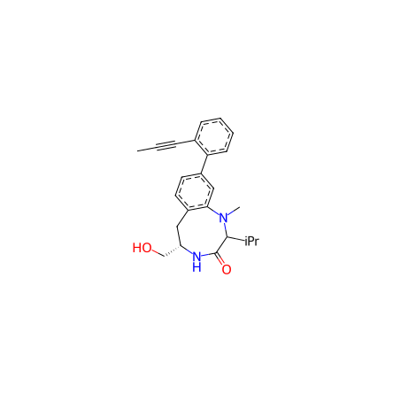 CC#Cc1ccccc1-c1ccc2c(c1)N(C)C(C(C)C)C(=O)N[C@H](CO)C2